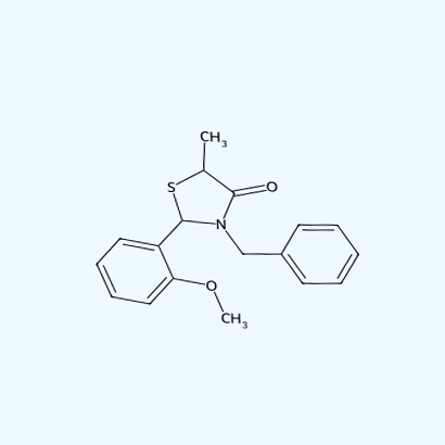 COc1ccccc1C1SC(C)C(=O)N1Cc1ccccc1